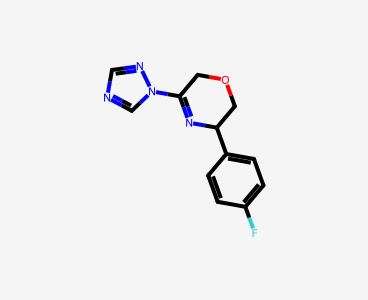 Fc1ccc(C2COCC(n3cncn3)=N2)cc1